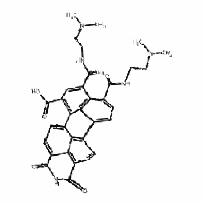 CN(C)CCNC(=N)c1cc(C(=O)O)c2c3ccc4c5c(ccc(c6ccc(C(=O)NCCN(C)C)c1c62)c53)C(=O)NC4=O